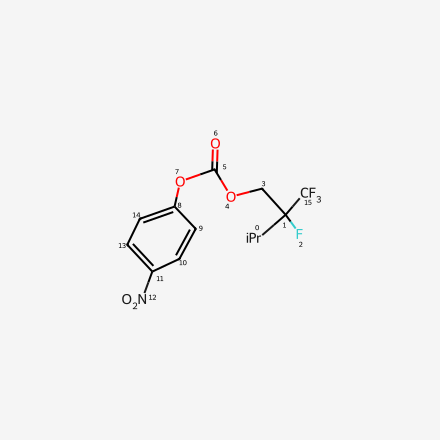 CC(C)C(F)(COC(=O)Oc1ccc([N+](=O)[O-])cc1)C(F)(F)F